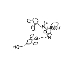 O=C(C1=C(c2cnc(CCCOc3c(Cl)cc(CCO)cc3Cl)s2)C[C@@H]2CCCC1N2)N(Cc1cccc(Cl)c1Cl)C1CC1